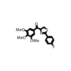 COc1cc(C(=O)C2CSC(c3ccc(F)cc3)=N2)cc(OC)c1OC